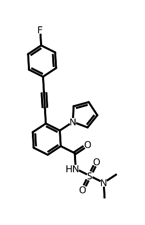 CN(C)S(=O)(=O)NC(=O)c1cccc(C#Cc2ccc(F)cc2)c1-n1cccc1